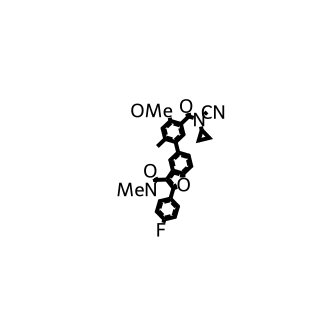 CNC(=O)c1c(-c2ccc(F)cc2)oc2ccc(-c3cc(C(=O)N(C#N)C4CC4)c(OC)cc3C)cc12